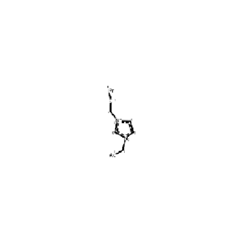 CC(=O)Cn1cc[n+](CCC(C)C)c1